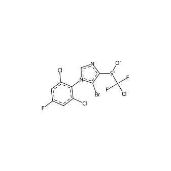 [O-][S+](c1ncn(-c2c(Cl)cc(F)cc2Cl)c1Br)C(F)(F)Cl